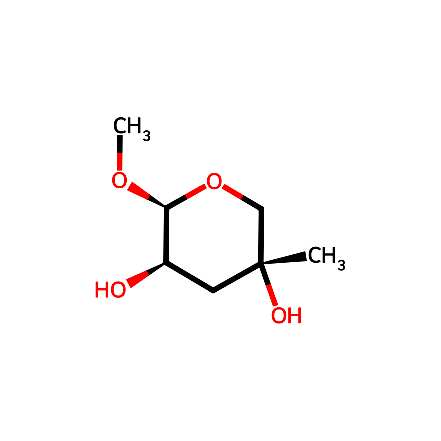 CO[C@H]1OC[C@](C)(O)C[C@H]1O